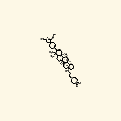 CC(C)OC(=O)C1(CCO)CC=C(C2=CC[C@@]3(C)C(CC[C@]4(C)C3CC[C@@H]3[C@H]5CCC[C@]5(NCCN5CCS(=O)(=O)CC5)CC[C@]34C)C2(C)C)CC1